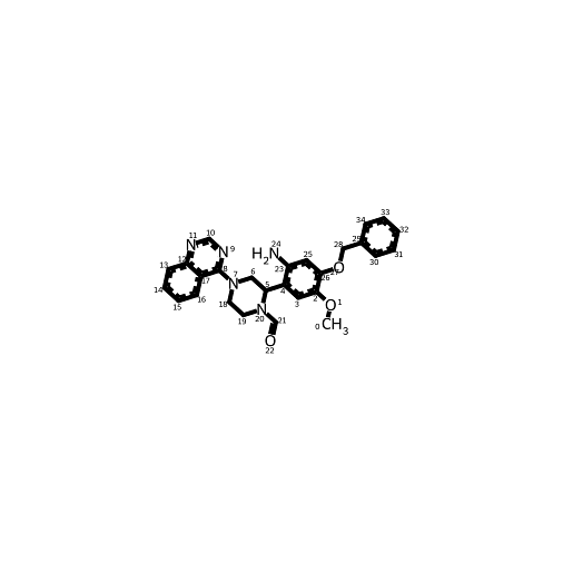 COc1cc(C2CN(c3ncnc4ccccc34)CCN2C=O)c(N)cc1OCc1ccccc1